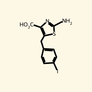 Nc1nc(C(=O)O)c(Cc2ccc(I)cc2)s1